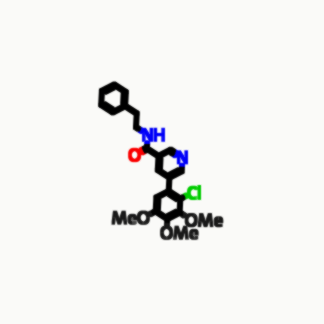 COc1cc(-c2cncc(C(=O)NCCc3ccccc3)c2)c(Cl)c(OC)c1OC